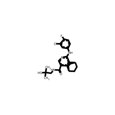 CC(C)(O)CNC(=O)c1cnc(Nc2ccc(F)c(Cl)c2)c2c1C1CCC2CC1